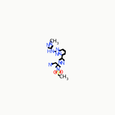 CCS(=O)(=O)N1CC(CC#N)(n2cc(-c3cccc4nc(Nc5cnn(C)c5)nn34)cn2)C1